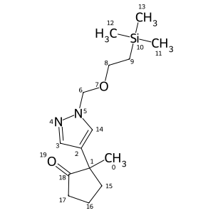 CC1(c2cnn(COCC[Si](C)(C)C)c2)CCCC1=O